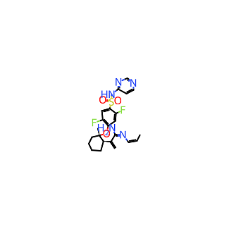 C=C(/C(N)=N\C=C/C)[C@H]1CCCC[C@]1(C)Oc1cc(F)c(S(=O)(=O)Nc2ccncn2)cc1F